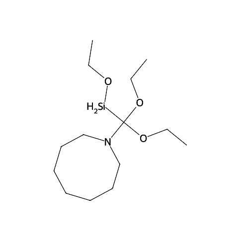 CCO[SiH2]C(OCC)(OCC)N1CCCCCCC1